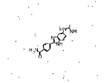 CC(=N)Nc1ccc2[nH]c(-c3ccc(C(N)=O)cc3)nc2c1